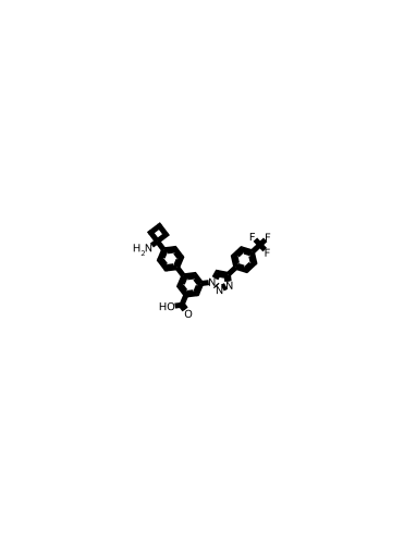 NC1(c2ccc(-c3cc(C(=O)O)cc(-n4cc(-c5ccc(C(F)(F)F)cc5)nn4)c3)cc2)CCC1